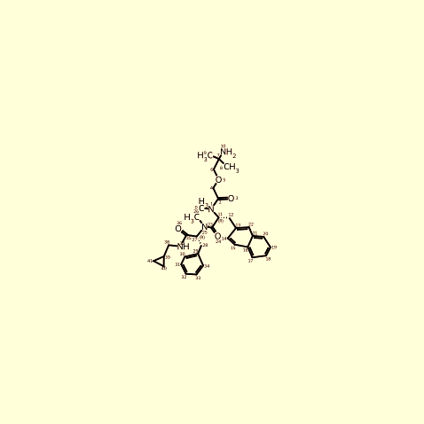 CN(C(=O)COCC(C)(C)N)[C@H](Cc1ccc2ccccc2c1)C(=O)N(C)[C@H](Cc1ccccc1)C(=O)NCC1CC1